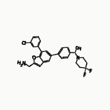 NCc1cc2cc(-c3ccc(C(O)N4CCC(F)(F)CC4)cc3)cc(-c3cccc(Cl)c3)c2o1